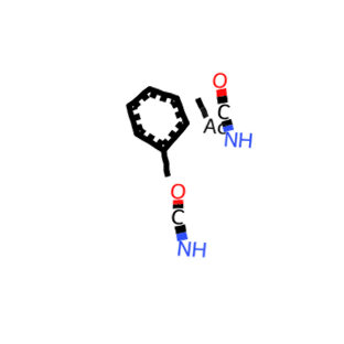 CC(C)=O.Cc1ccccc1.N=C=O.N=C=O